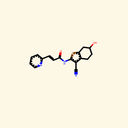 N#Cc1c(NC(=O)C=Cc2ccccn2)sc2c1CCC(O)C2